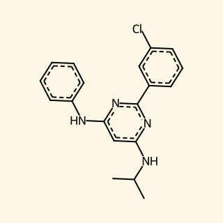 CC(C)Nc1cc(Nc2ccccc2)nc(-c2cccc(Cl)c2)n1